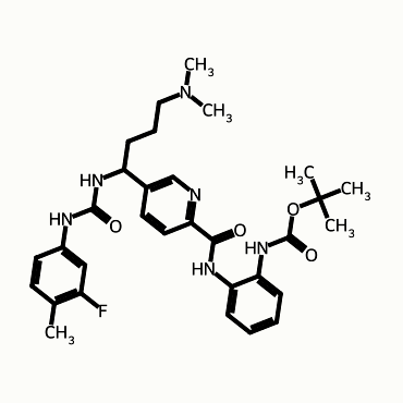 Cc1ccc(NC(=O)NC(CCCN(C)C)c2ccc(C(=O)Nc3ccccc3NC(=O)OC(C)(C)C)nc2)cc1F